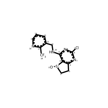 [O-][S@+]1CCc2nc(Cl)nc(NCc3cccnc3C(F)(F)F)c21